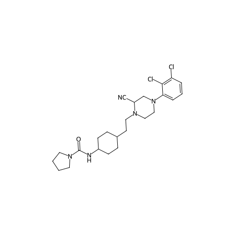 N#CC1CN(c2cccc(Cl)c2Cl)CCN1CCC1CCC(NC(=O)N2CCCC2)CC1